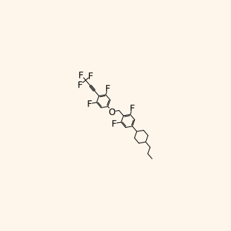 CCCC1CCC(c2cc(F)c(COc3cc(F)c(C#CC(F)(F)F)c(F)c3)c(F)c2)CC1